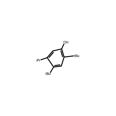 CC(C)c1cc(O)c(C(C)(C)C)cc1C(C)(C)C